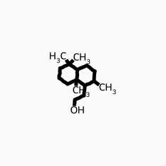 CC1CCC2C(C)(C)CCCC2(C)C1CCO